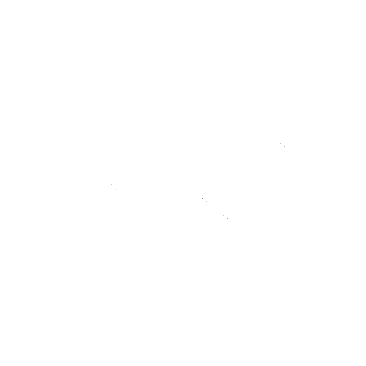 Cc1cncc(Cn2nc(-c3ccc(OC(C)F)nc3)ccc2=O)c1